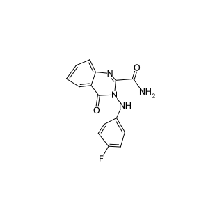 NC(=O)c1nc2ccccc2c(=O)n1Nc1ccc(F)cc1